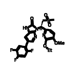 CCOc1nc([C@@H](CS(C)(=O)=O)n2c(=O)[nH]c3cc(-c4cc(F)c(F)cc4F)cnc32)ccc1OC